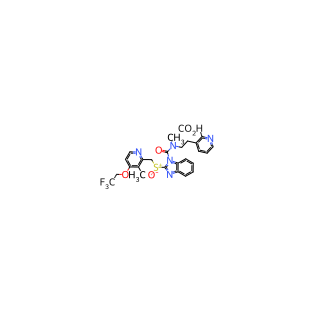 Cc1c(OCC(F)(F)F)ccnc1C[S@@+]([O-])c1nc2ccccc2n1C(=O)N(C)CCc1cccnc1C(=O)O